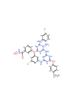 NN1C(Nc2nc(Nc3cccc(F)c3)nc(Oc3ccc(C(=O)O)cc3)n2)=NC(Oc2cccc(C(=O)NO)c2)=NC1Nc1cccc(F)c1